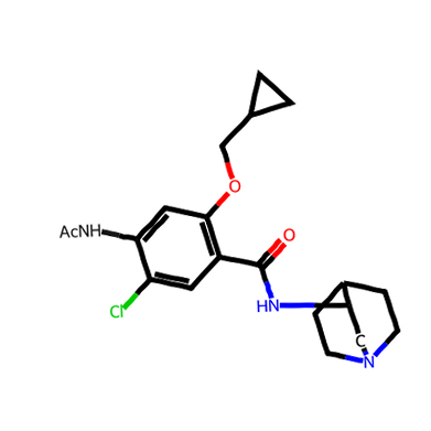 CC(=O)Nc1cc(OCC2CC2)c(C(=O)NC2CN3CCC2CC3)cc1Cl